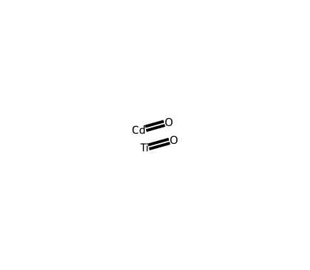 [O]=[Cd].[O]=[Ti]